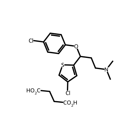 CN(C)CCC(Oc1ccc(Cl)cc1)c1cc(Cl)cs1.O=C(O)CCC(=O)O